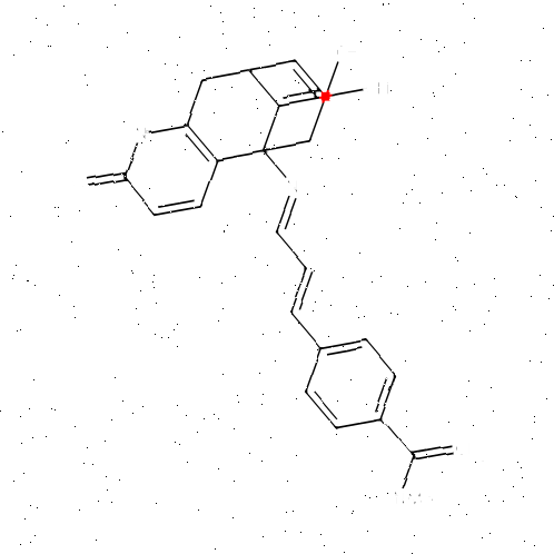 C=C(NC)c1ccc(/C=C/C=N/C23CC(C)=CC(Cc4[nH]c(=O)ccc42)/C3=C\C)cc1